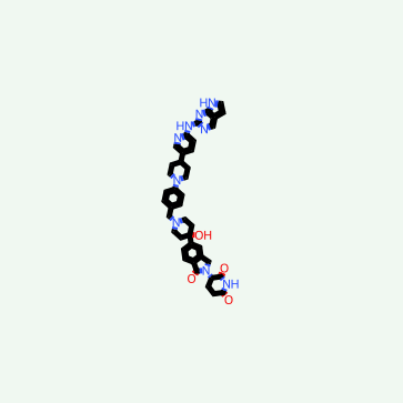 O=C1CCC(N2Cc3cc(C4(O)CCN(Cc5ccc(N6CCC(c7ccc(Nc8ncc9cc[nH]c9n8)nc7)CC6)cc5)CC4)ccc3C2=O)C(=O)N1